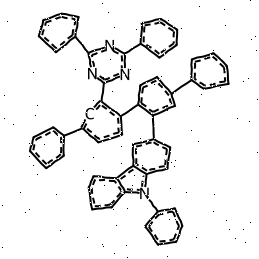 c1ccc(-c2ccc(-c3ccc(-c4ccccc4)cc3-c3nc(-c4ccccc4)nc(-c4ccccc4)n3)c(-c3ccc4c(c3)c3ccccc3n4-c3ccccc3)c2)cc1